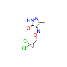 CC1=NNC(=O)C1=NOCC1CC1(Cl)Cl